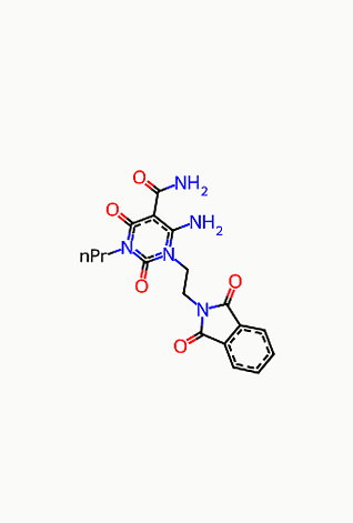 CCCn1c(=O)c(C(N)=O)c(N)n(CCN2C(=O)c3ccccc3C2=O)c1=O